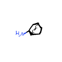 NC1CC2CCC1CC2